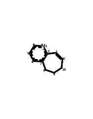 C1=Cc2ncccc2CCC1